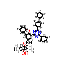 CC(C)(O)C(C)(C)OBc1cc(-c2nc(-c3ccccc3)nc(-c3ccc(-c4ccccc4)cc3)n2)c2oc3ccccc3c2c1